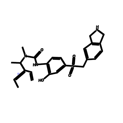 C=C/C(=C\C)C(C)N(C)C(=O)Nc1ccc(S(=O)(=O)Cc2ccc3c(c2)CNC3)cc1O